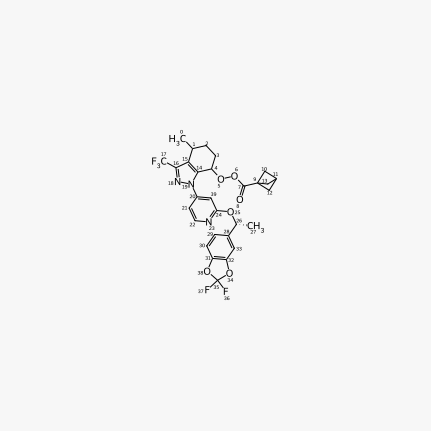 CC1CCC(OOC(=O)C23CC(C2)C3)c2c1c(C(F)(F)F)nn2-c1ccnc(O[C@H](C)c2ccc3c(c2)OC(F)(F)O3)c1